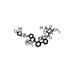 COc1nc(-c2cccc(-c3cccc(NC(=O)c4nn(C)c(=O)n(C)c4=O)c3Cl)c2Cl)cc2c1[C@@H](NC[C@@H]1CCC(=O)N1)CC2